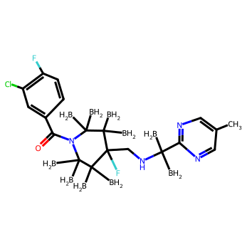 BC(B)(NCC1(F)C(B)(B)C(B)(B)N(C(=O)c2ccc(F)c(Cl)c2)C(B)(B)C1(B)B)c1ncc(C)cn1